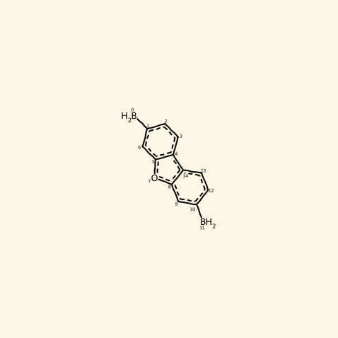 Bc1ccc2c(c1)oc1cc(B)ccc12